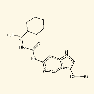 CCNc1n[nH]c2cc(NC(=O)N[C@H](C)C3CCCCC3)ncc12